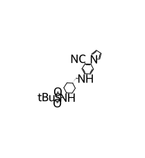 CC(C)(C)S(=O)(=O)N[C@H]1CC[C@H](CNc2ccc(-n3cccc3)c(C#N)c2)CC1